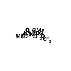 C#CCN(C(=O)OC)c1ccccc1C=NN=C(C)C(=NOC)c1ccc(Oc2ccc(C(F)(F)F)cc2)cc1